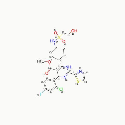 COC(=O)C1=C([C@H]2CC=C(NS(=O)(=O)CCO)CC2)NC(c2nccs2)=NC1c1ccc(F)cc1Cl